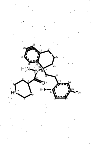 NN(C(=O)C1CCNCC1)[C@@]1(CCc2cc(F)ccc2F)CCCc2c#cccc21